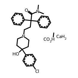 CC(=O)O.CN(C)C(=O)C(CCN1CCC(O)(c2ccc(Cl)cc2)CC1)(c1ccccc1)c1ccccc1.[CaH2]